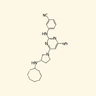 CCCc1cc(N2CCC(NC3CCCCCCC3)C2)nc(Nc2cccc(C#N)c2)n1